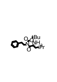 CC(C)C[C@H](N)C(=O)N(CCc1ccccc1)C(=O)OC(C)(C)C